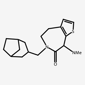 CNC1C(=O)N(CC2CC3CCC(C3)C2)CCc2ccsc21